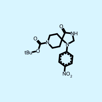 CC(C)(C)OC(=O)N1CCC2(CC1)C(=O)NCN2c1ccc([N+](=O)[O-])cc1